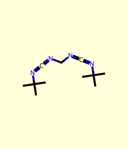 CC(C)(C)N=C=NCN=C=NC(C)(C)C